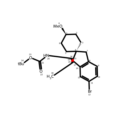 CO[C@H]1CC[C@]2(CC1)Cc1ccc(Br)cc1C21N=C(C)C(NC(=O)OC(C)(C)C)=N1